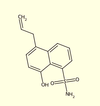 C=CCc1ccc(O)c2c(S(N)(=O)=O)cccc12